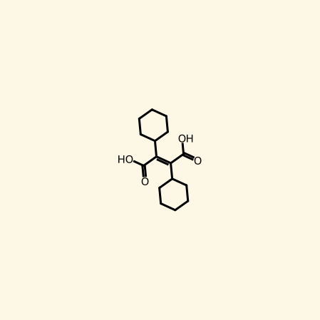 O=C(O)/C(=C(/C(=O)O)C1CCCCC1)C1CCCCC1